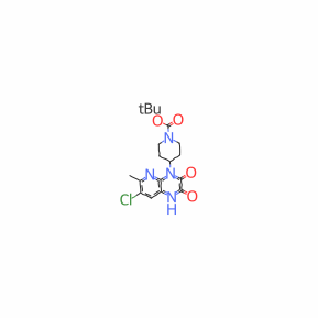 Cc1nc2c(cc1Cl)[nH]c(=O)c(=O)n2C1CCN(C(=O)OC(C)(C)C)CC1